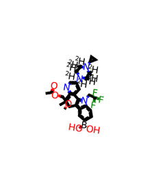 [2H]C1([2H])N(c2cnc([C@H](C)OC)c(-c3c(CC(C)(C)COC(C)=O)c4cc(B(O)O)ccc4n3CC(F)(F)F)c2)C([2H])([2H])C([2H])([2H])N(C2CC2)C1([2H])[2H]